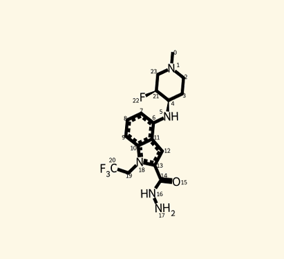 CN1CC[C@@H](Nc2cccc3c2cc(C(=O)NN)n3CC(F)(F)F)[C@@H](F)C1